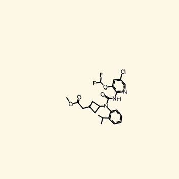 COC(=O)CC1CC(N(C(=O)Nc2ncc(Cl)cc2OC(F)F)c2ccccc2C(C)C)C1